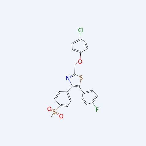 CS(=O)(=O)c1ccc(-c2nc(COc3ccc(Cl)cc3)sc2-c2ccc(F)cc2)cc1